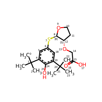 CC(C)(C)c1cc(S[C@H]2OCC[C@@H]2OCC(=O)O)cc(C(C)(C)C)c1O